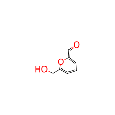 O=CC1=CC=C=C(CO)O1